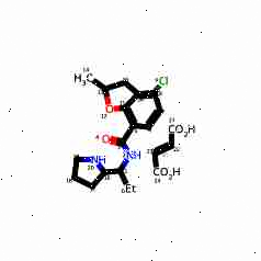 CCC(NC(=O)c1ccc(Cl)c2c1OC(C)C2)C1CCCN1.O=C(O)/C=C/C(=O)O